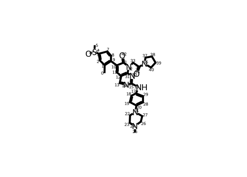 Cc1cc([S+](C)[O-])ccc1-c1cc2cnc(Nc3ccc(N4CCN(C)CC4)cc3)nc2n(CC(=O)N2CCCC2)c1=O